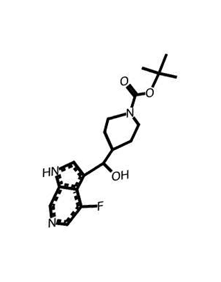 CC(C)(C)OC(=O)N1CCC(C(O)c2c[nH]c3cncc(F)c23)CC1